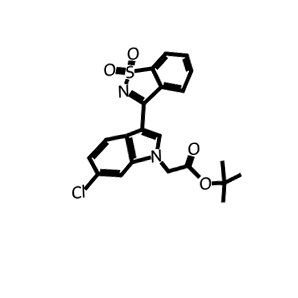 CC(C)(C)OC(=O)Cn1cc(C2=NS(=O)(=O)c3ccccc32)c2ccc(Cl)cc21